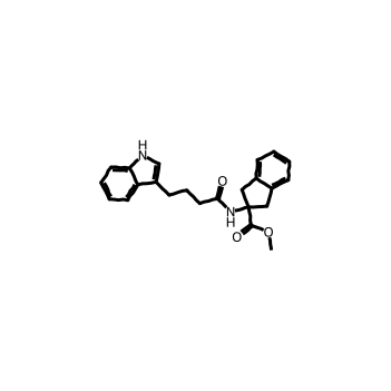 COC(=O)C1(NC(=O)CCCc2c[nH]c3ccccc23)Cc2ccccc2C1